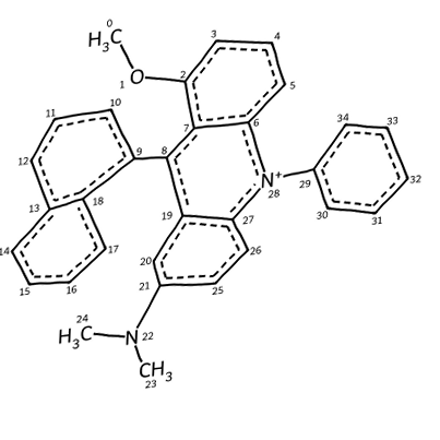 COc1cccc2c1c(-c1cccc3ccccc13)c1cc(N(C)C)ccc1[n+]2-c1ccccc1